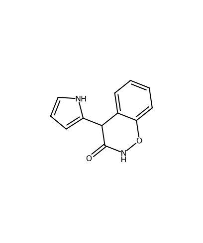 O=C1NOc2ccccc2C1c1ccc[nH]1